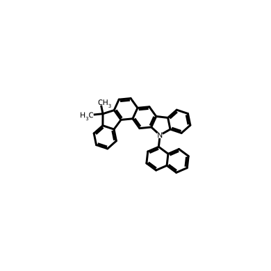 CC1(C)c2ccccc2-c2c1ccc1cc3c4ccccc4n(-c4cccc5ccccc45)c3cc21